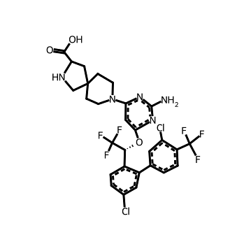 Nc1nc(O[C@H](c2ccc(Cl)cc2-c2ccc(C(F)(F)F)c(Cl)c2)C(F)(F)F)cc(N2CCC3(CC2)CNC(C(=O)O)C3)n1